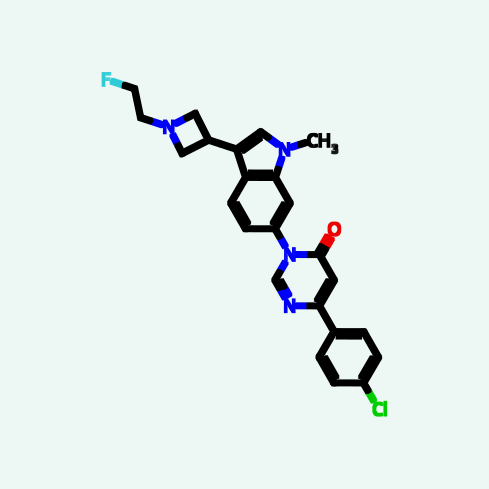 Cn1cc(C2CN(CCF)C2)c2ccc(-n3cnc(-c4ccc(Cl)cc4)cc3=O)cc21